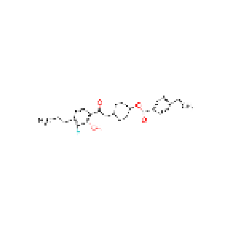 C=Cc1ccc(C(=O)OC2CCC(CC(=O)c3ccc(CCC)c(F)c3O)CC2)cc1